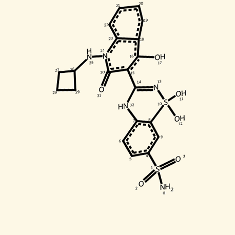 NS(=O)(=O)c1ccc2c(c1)S(O)(O)N=C(c1c(O)c3ccccc3n(NC3CCC3)c1=O)N2